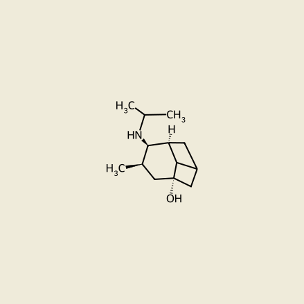 CC(C)N[C@@H]1[C@H](C)C[C@]2(O)CC3C[C@H]1C32